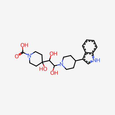 O=C(O)N1CCC(O)(C(O)C(O)N2CCC(c3c[nH]c4ccccc34)CC2)CC1